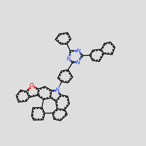 c1ccc(-c2nc(-c3ccc(-n4c5cc6oc7ccccc7c6c6c5c5c7c(cccc7ccc54)-c4ccccc4-6)cc3)nc(-c3ccc4ccccc4c3)n2)cc1